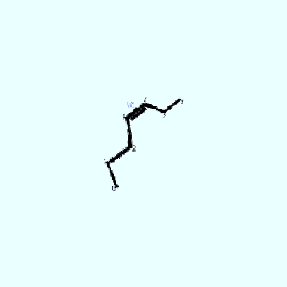 C[CH]C/C=C\CC